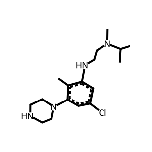 Cc1c(NCCN(C)C(C)C)cc(Cl)cc1N1CCNCC1